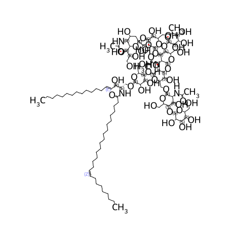 CCCCCCCC/C=C\CCCCCCCCCCCCCCCC(=O)N[C@@H](CO[C@@H]1OC(CO)[C@@H](O[C@@H]2OC(CO[C@@H]3OC(CO)[C@@H](O[C@@H]4OC(CO)[C@H](O)[C@H](O)C4O)[C@H](O)C3NC(C)=O)[C@H](O)[C@H](O[C@@H]3OC(CO)[C@@H](O[C@H]4OC(C)[C@@H](O)C(O)[C@@H]4O)[C@H](O[C@@H]4OC(CO)[C@H](O)[C@H](O[C@]5(C(=O)O)CC(O)[C@@H](NC(C)=O)C([C@H](O)[C@H](O)CO)O5)C4O)C3NC(C)=O)C2O)[C@H](O)C1O)[C@H](O)/C=C/CCCCCCCCCCCCC